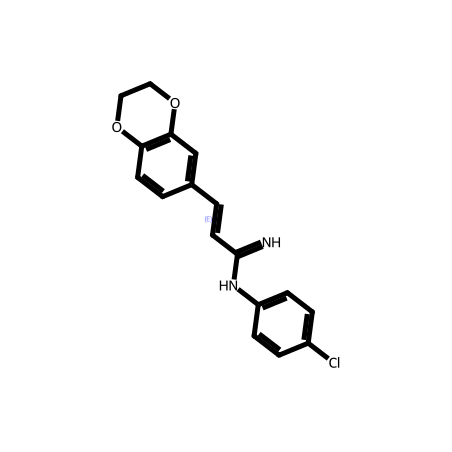 N=C(/C=C/c1ccc2c(c1)OCCO2)Nc1ccc(Cl)cc1